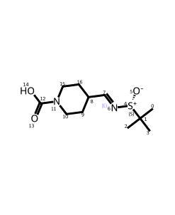 CC(C)(C)[S@@+]([O-])/N=C/C1CCN(C(=O)O)CC1